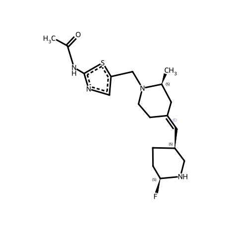 CC(=O)Nc1ncc(CN2CC/C(=C\[C@@H]3CC[C@H](F)NC3)C[C@@H]2C)s1